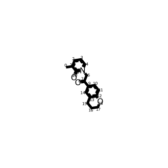 Cc1cccn(CC(=O)c2ccc3c(c2)CCCO3)c1=O